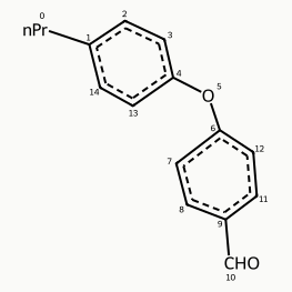 CCCc1ccc(Oc2ccc(C=O)cc2)cc1